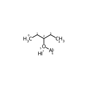 CCC(CC)[O][Al].I